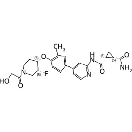 Cc1cc(-c2ccnc(NC(=O)[C@@H]3C[C@@H]3C(N)=O)c2)ccc1O[C@H]1CCN(C(=O)CO)C[C@H]1F